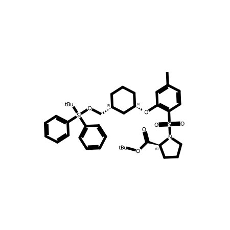 Cc1ccc(S(=O)(=O)N2CCC[C@H]2C(=O)OC(C)(C)C)c(O[C@H]2CCC[C@@H](CO[Si](c3ccccc3)(c3ccccc3)C(C)(C)C)C2)c1